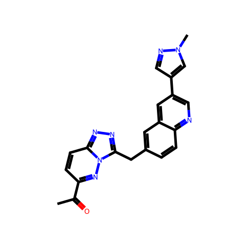 CC(=O)c1ccc2nnc(Cc3ccc4ncc(-c5cnn(C)c5)cc4c3)n2n1